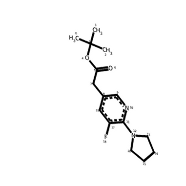 CC(C)(C)OC(=O)Cc1cnc(N2CCCC2)c(F)c1